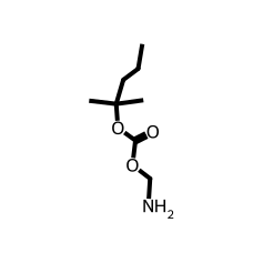 CCCC(C)(C)OC(=O)OCN